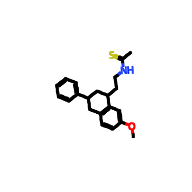 COc1ccc2c(c1)C(CCNC(C)=S)CC(c1ccccc1)C2